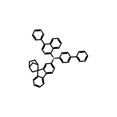 c1ccc(-c2ccc(N(c3ccc4c(c3)C3(CC5CCC3C5)c3ccccc3-4)c3ccc(-c4ccccc4)c4ccccc34)cc2)cc1